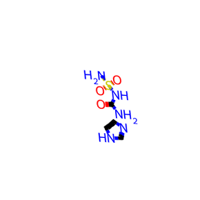 NC(=O)NS(N)(=O)=O.c1c[nH]cn1